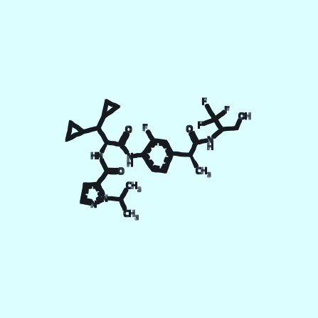 CC(C)n1nccc1C(=O)N[C@H](C(=O)Nc1ccc([C@H](C)C(=O)NC(CO)C(F)(F)F)cc1F)C(C1CC1)C1CC1